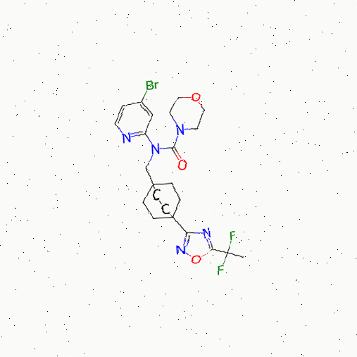 CC(F)(F)c1nc(C23CCC(CN(C(=O)N4CCOCC4)c4cc(Br)ccn4)(CC2)CC3)no1